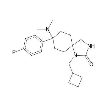 CN(C)C1(c2ccc(F)cc2)CCC2(CC1)CNC(=O)N2CC1CCC1